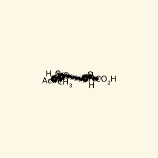 CC(=O)c1ccc(-c2c(C)cc(OCCCCCCCc3ccc(C(=O)NCCC(=O)O)cc3)cc2C)cc1